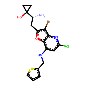 N[C@H](Cc1oc2c(NCc3cccs3)cc(Cl)nc2c1Br)C1(O)CC1